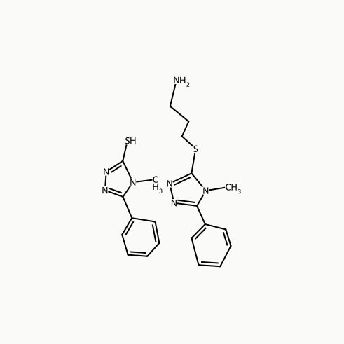 Cn1c(S)nnc1-c1ccccc1.Cn1c(SCCCN)nnc1-c1ccccc1